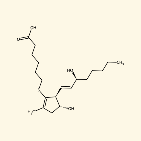 CCCCC[C@H](O)/C=C/[C@@H]1C(SCCCCCC(=O)O)=C(C)C[C@H]1O